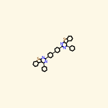 c1ccc(-c2nc(-c3ccc(-c4ccc(-c5nc(-c6ccccc6)c6c(n5)sc5ccccc56)cc4)cc3)nc3sc4ccccc4c23)cc1